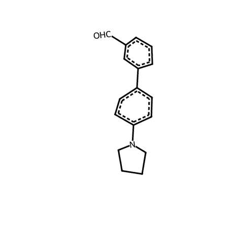 O=Cc1cccc(-c2ccc(N3CCCC3)cc2)c1